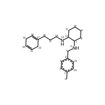 Cc1ccc(CNC2CCCCC2NCCCC2=CCC=CC2)cc1